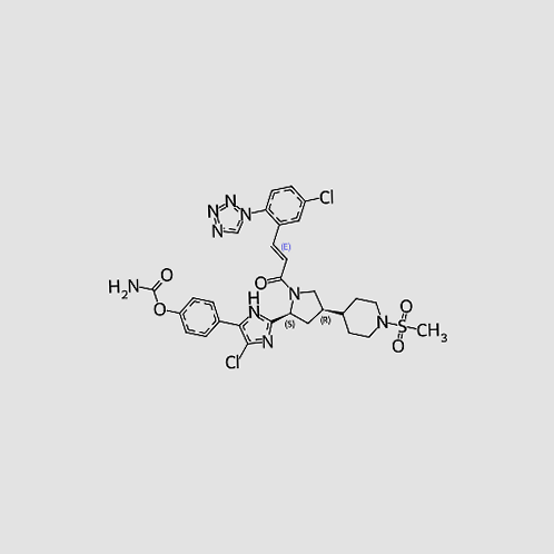 CS(=O)(=O)N1CCC([C@H]2C[C@@H](c3nc(Cl)c(-c4ccc(OC(N)=O)cc4)[nH]3)N(C(=O)/C=C/c3cc(Cl)ccc3-n3cnnn3)C2)CC1